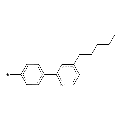 CCCCCc1ccnc(-c2ccc(Br)cc2)c1